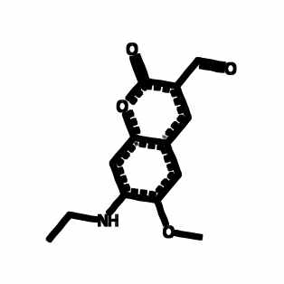 CCNc1cc2oc(=O)c(C=O)cc2cc1OC